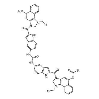 CCC(=O)Oc1cc2c(c3ccccc13)[C@H](CCl)CN2C(=O)c1cc2cc(NC(=O)Nc3ccc4[nH]c(C(=O)N5C[C@@H](CCl)c6c5cc(OC(C)=O)c5ccccc65)cc4c3)ccc2[nH]1